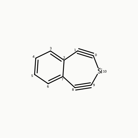 C1#Cc2ccccc2C#C[Si]1